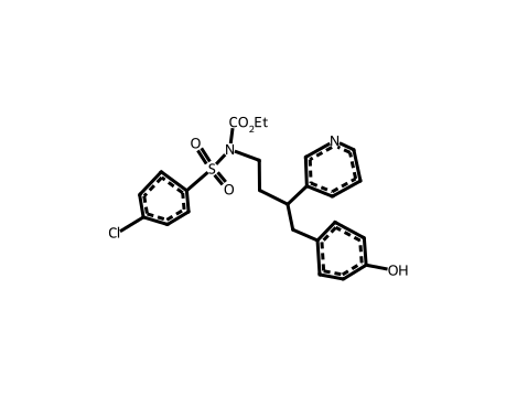 CCOC(=O)N(CCC(Cc1ccc(O)cc1)c1cccnc1)S(=O)(=O)c1ccc(Cl)cc1